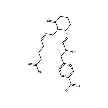 O=C(O)CCC/C=C\CN1C(=O)CCC[C@@H]1/C=C/C(O)Cc1ccc([N+](=O)[O-])cc1